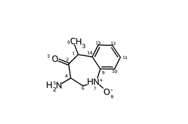 CC1C(=O)C(N)C[NH+]([O-])c2ccccc21